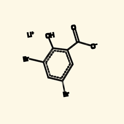 O=C([O-])c1cc(Br)cc(Br)c1O.[Li+]